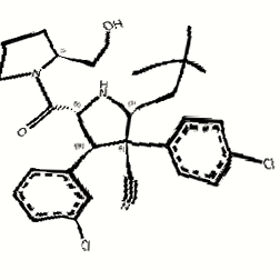 CC(C)(C)C[C@@H]1N[C@@H](C(=O)N2CCC[C@H]2CO)[C@H](c2cccc(Cl)c2)[C@@]1(C#N)c1ccc(Cl)cc1